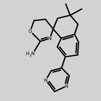 CC1(C)Cc2ccc(-c3cncnc3)cc2C2(CCOC(N)=N2)C1